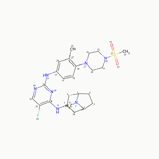 CN1C2CCC1CC(Nc1nc(Nc3ccc(N4CCN(S(C)(=O)=O)CC4)c(C#N)c3)ncc1F)C2